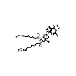 C#C[C@]1(COC(=O)CCCCCCCCCCCCCCC)O[C@@H](n2cnc3c(N)nc(F)nc32)C[C@@H]1OC(=O)CCCCCCCCCCCCCCC